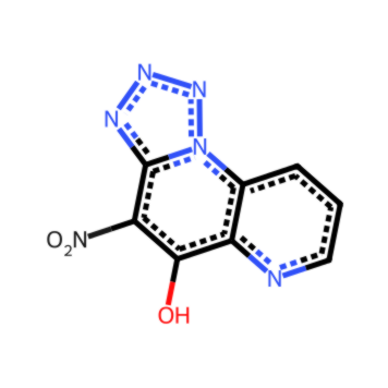 O=[N+]([O-])c1c(O)c2ncccc2n2nnnc12